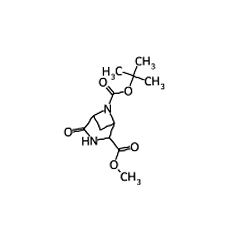 COC(=O)C1NC(=O)C2CC1N2C(=O)OC(C)(C)C